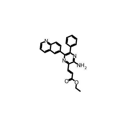 CCOC(=O)/C=C/c1nc(-c2ccc3ncccc3c2)c(-c2ccccc2)nc1N